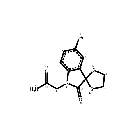 CC(C)c1ccc2c(c1)C1(SCCS1)C(=O)N2CC(N)=O